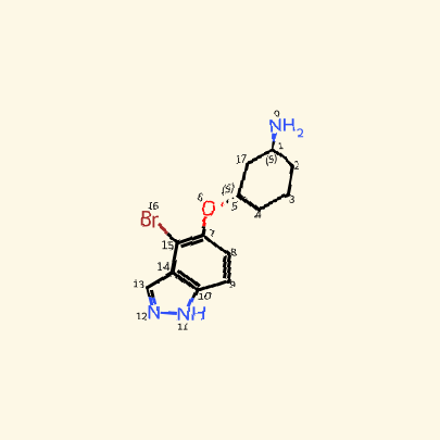 N[C@H]1CCC[C@H](Oc2ccc3[nH]ncc3c2Br)C1